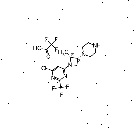 C[C@@H]1[C@H](N2CCNCC2)CN1c1cc(Cl)nc(C(F)(F)F)n1.O=C(O)C(F)(F)F